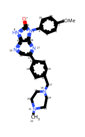 COc1ccc(-n2c(=O)[nH]c3ncc(-c4ccc(CN5CCN(C)CC5)cc4)nc32)cc1